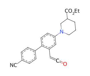 CCOC(=O)C1CCCN(c2ccc(-c3ccc(C#N)cc3)c(C=C=O)c2)C1